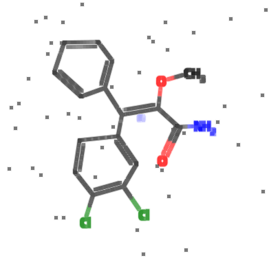 CO/C(C(N)=O)=C(\c1ccccc1)c1ccc(Cl)c(Cl)c1